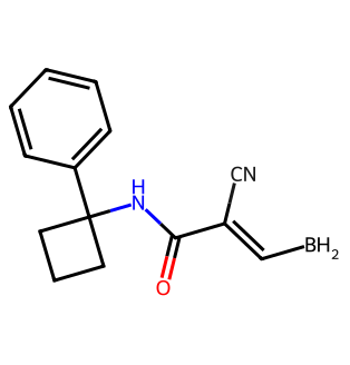 B/C=C(\C#N)C(=O)NC1(c2ccccc2)CCC1